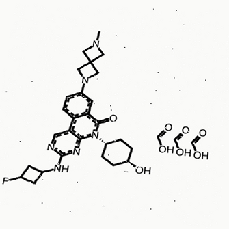 CN1CC2(C1)CN(c1ccc3c(c1)c(=O)n([C@H]1CC[C@H](O)CC1)c1nc(NC4CC(F)C4)ncc31)C2.O=CO.O=CO.O=CO